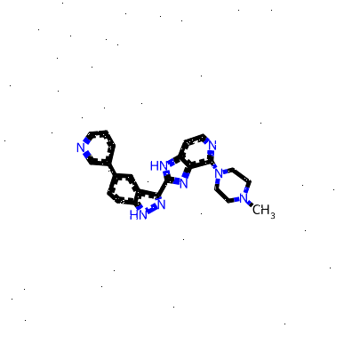 CN1CCN(c2nccc3[nH]c(-c4n[nH]c5ccc(-c6cccnc6)cc45)nc23)CC1